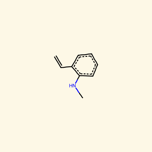 C=Cc1ccccc1NC